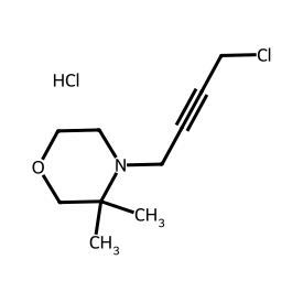 CC1(C)COCCN1CC#CCCl.Cl